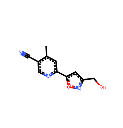 Cc1cc(-c2cc(CO)no2)ncc1C#N